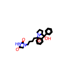 O=C1CN(CCCCC(=O)N2CCCC2C(O)(c2ccccc2)c2ccccc2)C(=O)N1